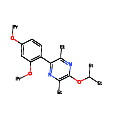 CCc1nc(-c2ccc(OC(C)C)cc2OC(C)C)c(CC)nc1OC(CC)CC